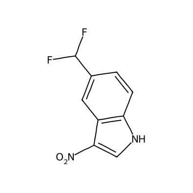 O=[N+]([O-])c1c[nH]c2ccc(C(F)F)cc12